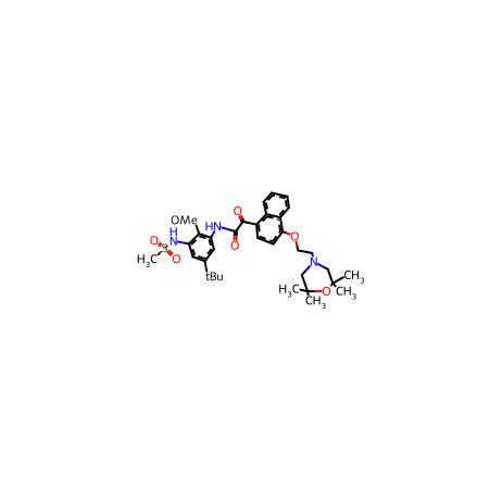 COc1c(NC(=O)C(=O)c2ccc(OCCN3CC(C)(C)OC(C)(C)C3)c3ccccc23)cc(C(C)(C)C)cc1NS(C)(=O)=O